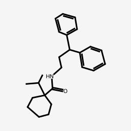 CC(C)C1(C(=O)NCCC(c2ccccc2)c2ccccc2)CCCCC1